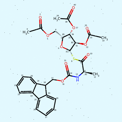 CC(=O)OC[C@H]1O[C@@H](SC(=O)[C@@H](C)NC(=O)OCC2c3ccccc3-c3ccccc32)[C@H](OC(C)=O)[C@H]1OC(C)=O